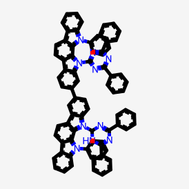 c1ccc(C2=NC(n3c4ccc(-c5ccc6c7ccc8c9ccccc9n(-c9ccccc9)c8c7n(-c7nc(-c8ccccc8)nc(-c8ccccc8)n7)c6c5)cc4c4ccc5c6ccccc6n(-c6ccccc6)c5c43)NC(c3ccccc3)=N2)cc1